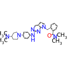 CN(C)C(=O)c1ccccc1Cn1ccc2cnc(Nc3ccc(N4CCC(N(C)C)CC4)cc3)nc21